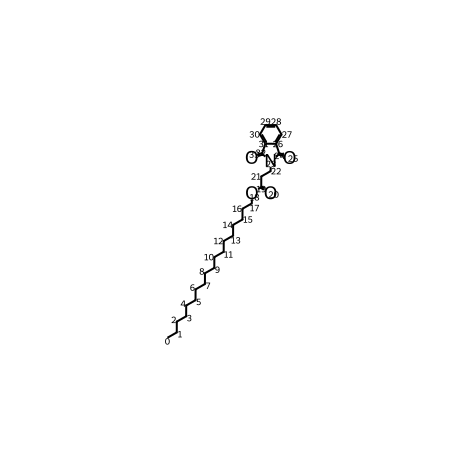 CCCCCCCCCCCCCCCCCCOC(=O)CCN1C(=O)c2ccccc2C1=O